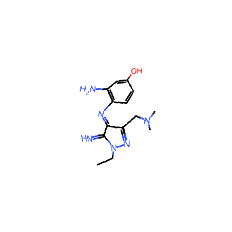 CCN1N=C(CN(C)C)C(=Nc2ccc(O)cc2N)C1=N